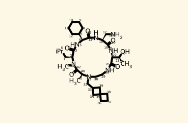 CC(C)C[C@H]1C(=O)N[C@@H](C2CCCCC2)C(=O)N[C@@H](CN)C(=O)N[C@@H]([C@H](C)O)C(=O)NCCN(CC2CC3(CCC3)C2)[C@@H](C)C(=O)N1C